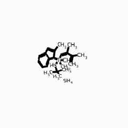 C=C(C)C(C)=[CH][Ti]([CH3])([CH3])([NH]C(C)(C)C)[CH]1C(C)=Cc2ccccc21.[SiH4]